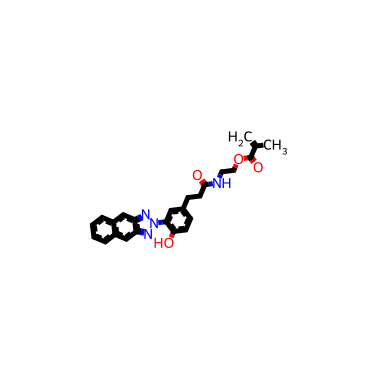 C=C(C)C(=O)OCCNC(=O)CCc1ccc(O)c(-n2nc3cc4ccccc4cc3n2)c1